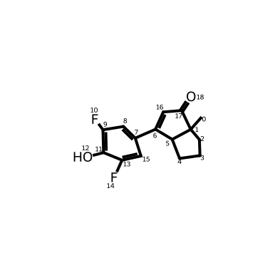 CC12CCCC1C(c1cc(F)c(O)c(F)c1)=CC2=O